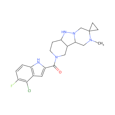 CN1CC2C3CN(C(=O)c4cc5c(Cl)c(F)ccc5[nH]4)CCC3NN2CC12CC2